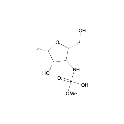 COP(=O)(O)NC1[C@@H](CO)O[C@@H](C)[C@H]1O